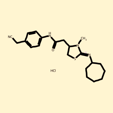 CN1/C(=N/C2CCCCCC2)SCC1CC(=O)Nc1ccc(CC#N)cc1.Cl